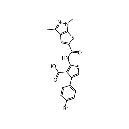 Cc1nn(C)c2sc(C(=O)Nc3scc(-c4ccc(Br)cc4)c3C(=O)O)cc12